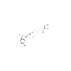 Cc1ccc([C@]2(O)CC[C@H](N3CC(NC(=O)CNc4nn(C)c5ccc(C(C)(C)F)cc45)C3)CC2)cn1